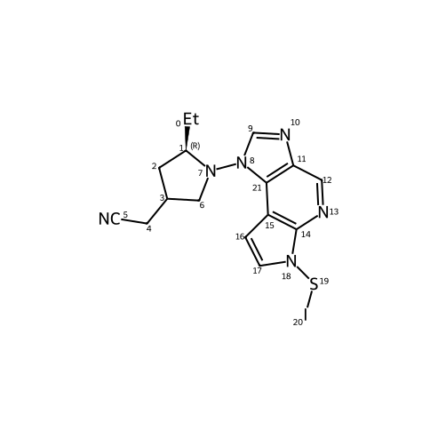 CC[C@@H]1CC(CC#N)CN1n1cnc2cnc3c(ccn3SI)c21